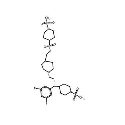 CS(=O)(=O)N1CCC([C@@H](CCN2CCC(CCS(=O)(=O)C3CCN(S(C)(=O)=O)CC3)CC2)c2cc(F)cc(F)c2)CC1